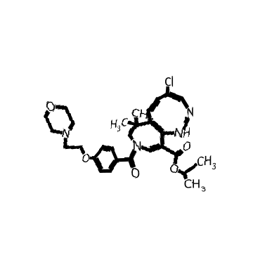 CC(C)OC(=O)C1=CN(C(=O)c2ccc(OCCN3CCOCC3)cc2)CC(C)(C)c2ccc(Cl)cnc[nH]c21